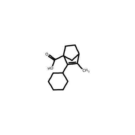 CC1=C(C2CCCCC2)C2(C(=O)O)CCC1C2